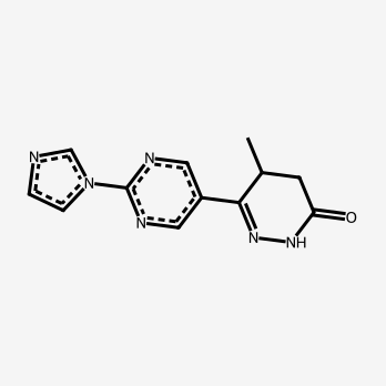 CC1CC(=O)NN=C1c1cnc(-n2ccnc2)nc1